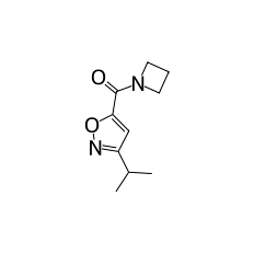 CC(C)c1cc(C(=O)N2CCC2)on1